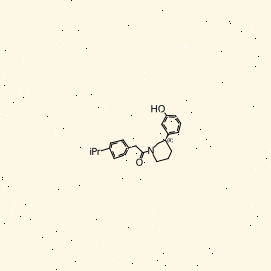 CC(C)c1ccc(CC(=O)N2CCC[C@H](c3cccc(O)c3)C2)cc1